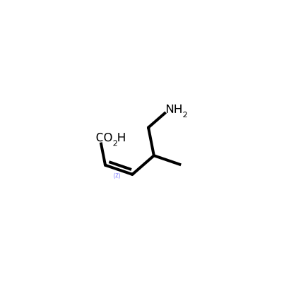 CC(/C=C\C(=O)O)CN